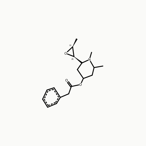 CC1CC(OC(=O)Cc2ccccc2)CC([C@H]2O[C@H]2C)N1C